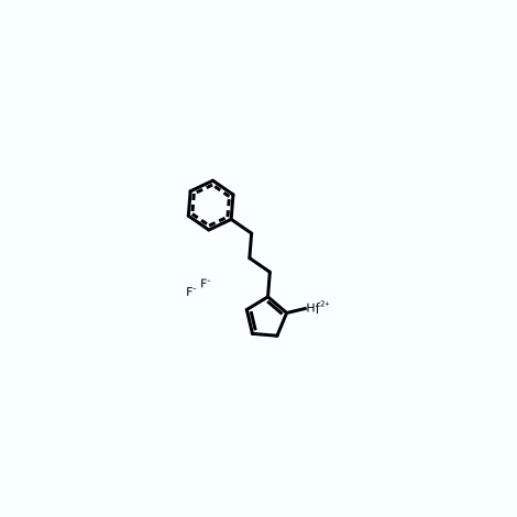 [F-].[F-].[Hf+2][C]1=C(CCCc2ccccc2)C=CC1